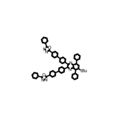 CC(C)(C)c1cc(-c2ccccc2)c2nc(-c3ccc(-c4ccc(-c5nnc(-c6ccccc6)o5)cc4)cc3)c(-c3ccc(-c4ccc(-c5nnc(-c6ccccc6)o5)cc4)cc3)nc2c1-c1ccccc1